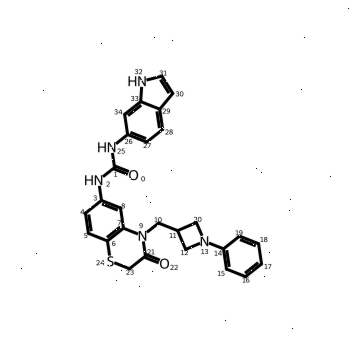 O=C(Nc1ccc2c(c1)N(CC1CN(c3ccccc3)C1)C(=O)CS2)Nc1ccc2cc[nH]c2c1